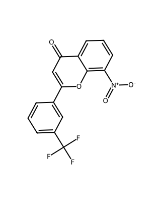 O=c1cc(-c2cccc(C(F)(F)F)c2)oc2c([N+](=O)[O-])cccc12